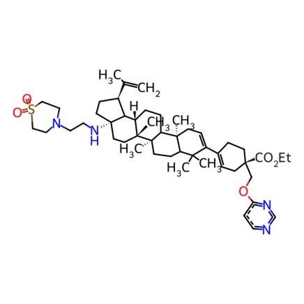 C=C(C)[C@@H]1CC[C@]2(NCCN3CCS(=O)(=O)CC3)CC[C@]3(C)[C@@H](CCC4[C@@]5(C)CC=C(C6=CC[C@](COc7ccncn7)(C(=O)OCC)CC6)C(C)(C)C5CC[C@]43C)C12